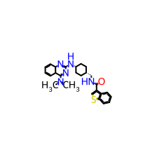 CN(C)C1=NC(N[C@H]2CC[C@@H](CNC(=O)c3csc4ccccc34)CC2)=NC2C=CC=CC12